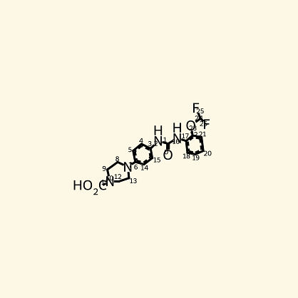 O=C(Nc1ccc(N2CCN(C(=O)O)CC2)cc1)Nc1ccccc1OC(F)F